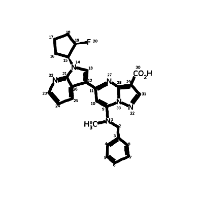 CN(Cc1ccccc1)c1cc(-c2cn([C@H]3CCC[C@H]3F)c3ncccc23)nc2c(C(=O)O)cnn12